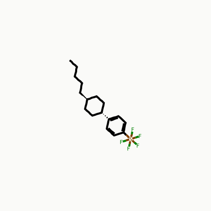 CCCCC[C@H]1CC[C@H](c2ccc(S(F)(F)(F)(F)F)cc2)CC1